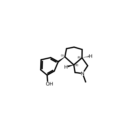 CN1C[C@@H]2CCC[C@H](c3cccc(O)c3)[C@H]2C1